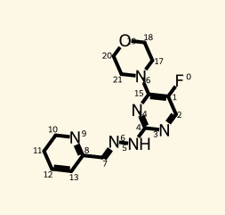 Fc1cnc(N/N=C/C2=NCCC=C2)nc1N1CCOCC1